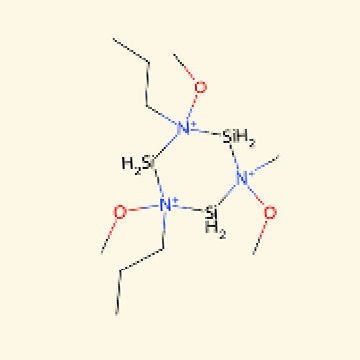 CCC[N+]1(OC)[SiH2][N+](C)(OC)[SiH2][N+](CCC)(OC)[SiH2]1